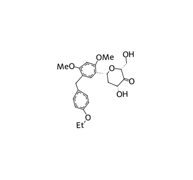 CCOc1ccc(Cc2cc([C@H]3C[C@@H](O)C(=O)[C@@H](CO)O3)c(OC)cc2OC)cc1